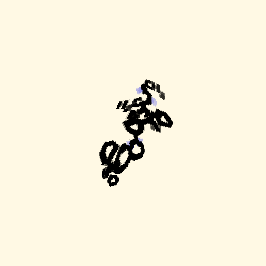 C=C(/C=C\C=C/C)c1nc2ccc(C3=C/CC=C=C4CC=C(P(=O)(c5ccccc5)c5ccccc5)C=C\C4=C\3)cc2c2nc3ccccc3n12